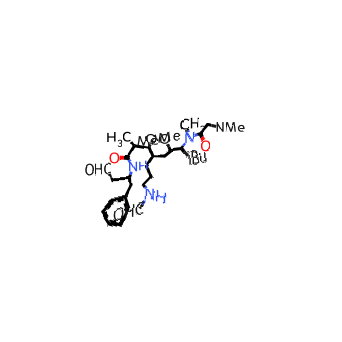 CCC(C)C(C(CC(CCCNC=O)C(OC)C(C)C(=O)NC(CC=O)Cc1ccccc1)OC)N(C)C(=O)CNC